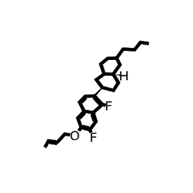 C/C=C/COc1cc2ccc([C@@H]3CC[C@@H]4CC(CCCC)CCC4C3)c(F)c2cc1F